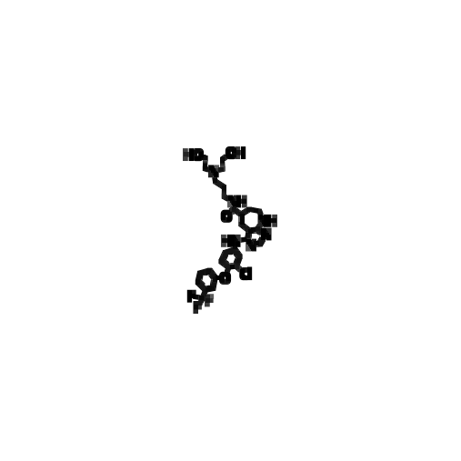 O=C(NCCCN(CCO)CCO)C1=Cc2c(ncnc2Nc2ccc(Oc3cccc(C(F)(F)F)c3)c(Cl)c2)NCC1